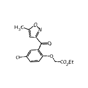 CCOC(=O)COc1ccc(Cl)cc1C(=O)c1cc(C)on1